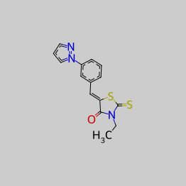 CCN1C(=O)/C(=C/c2cccc(-n3cccn3)c2)SC1=S